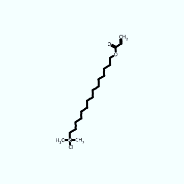 C=CC(=O)OCCCCCCCCCCCCCCC[Si](C)(C)Cl